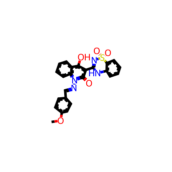 COc1ccc(C=Nn2c(=O)c(C3=NS(=O)(=O)c4ccccc4N3)c(O)c3ccccc32)cc1